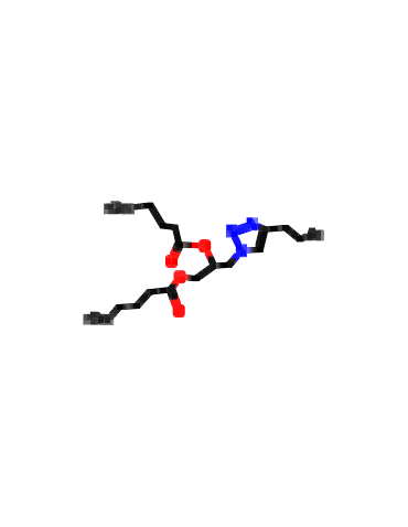 CCCCCCCCCCCCCC(=O)OCC(Cn1cc(CCC(C)=O)nn1)OC(=O)CCCCCCCCCCCCC